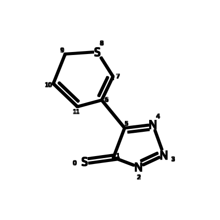 S=C1N=NN=C1C1=[C]SCC=C1